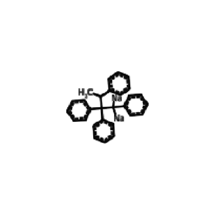 CC(c1ccccc1)C(c1ccccc1)(c1ccccc1)[C]([Na])([Na])c1ccccc1